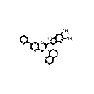 Cc1cc2[nH]c(C(=O)N(Cc3ccc(-c4ccccc4)cn3)[C@@H]3CCCc4cccnc43)cc2nc1N